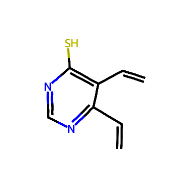 C=Cc1ncnc(S)c1C=C